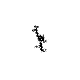 CC/C=C\C[C@H](O)/C=C/[C@@H]1[C@H]2CC(CCCCC(=O)N(C)C)=C[C@H]2C[C@H]1O